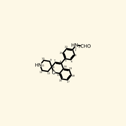 O=CNc1ccc(C2=CC3(CCNCC3)Oc3ccccc32)cc1